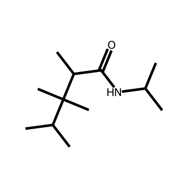 CC(C)NC(=O)C(C)C(C)(C)C(C)C